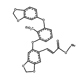 CCOC(=O)c1c(Oc2ccc3c(c2)OCO3)cccc1Oc1cc2c(cc1/C=C/C(=O)OC(C)(C)C)OCO2